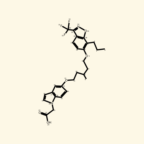 CCCc1c(OCCC(C)CCOc2ccc3c(ccn3CC(=O)O)c2)ccc2c(C(F)(F)F)noc12